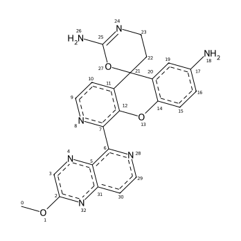 COc1cnc2c(-c3nccc4c3Oc3ccc(N)cc3C43CCN=C(N)O3)nccc2n1